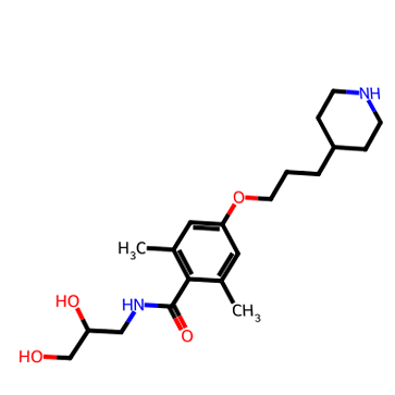 Cc1cc(OCCCC2CCNCC2)cc(C)c1C(=O)NCC(O)CO